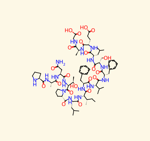 CC[C@H](C)[C@H](NC(=O)[C@H](CC(C)C)NC(=O)[C@@H]1CCCN1C(=O)[C@@H](NC(=O)[C@H](CC(N)=O)NC(=O)[C@H](C)NC(=O)[C@@H]1CCCN1)[C@@H](C)O)C(=O)N[C@@H](Cc1ccccc1)C(=O)N[C@H](C(=O)N[C@@H](Cc1ccccc1)C(=O)N[C@@H](CO)C(=O)N[C@@H](CC(C)C)C(=O)N[C@@H](CCC(=O)O)C(=O)N[C@@H](C)C(=O)NCC(=O)O)C(C)C